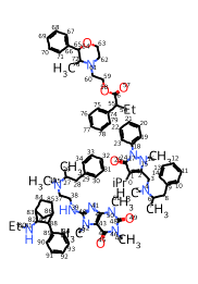 CC(C)c1c(CN(C)C(C)Cc2ccccc2)n(C)n(-c2ccccc2)c1=O.CC(Cc1ccccc1)N(C)CCNc1nc2c(c(=O)n(C)c(=O)n2C)n1C.CCC(C(=O)OCCN1CCOC(c2ccccc2)C1C)c1ccccc1.CCNC1C2CCC(C2)C1c1ccccc1